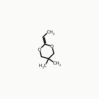 CC=C1OCC(C)(C)CO1